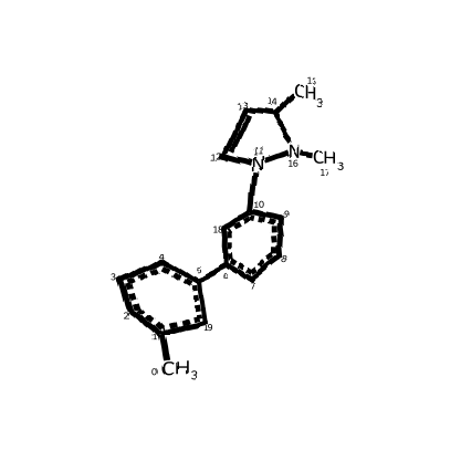 Cc1cccc(-c2cccc(N3C=CC(C)N3C)c2)c1